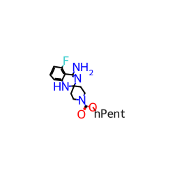 CCCCCOC(=O)N1CCC2(CC1)N=C(N)c1c(F)cccc1N2